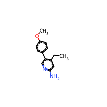 CCc1cc(N)ncc1-c1ccc(OC)cc1